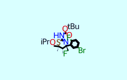 CC(C)OC[C@@]1(C)SC(NC(=O)OC(C)(C)C)=N[C@](CF)(c2cc(Br)ccc2F)[C@@H]1C